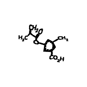 C=C(C)C(=O)Oc1cc(C)cc(C(=O)O)c1